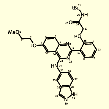 COCCOc1ccc2nc(-c3ccccc3OCC(=O)NC(C)(C)C)nc(Nc3ccc4[nH]ncc4c3)c2c1